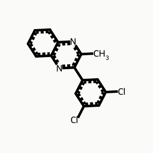 Cc1nc2ccccc2nc1-c1cc(Cl)cc(Cl)c1